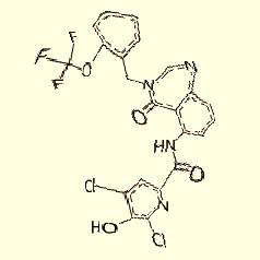 O=C(Nc1cccc2ncn(Cc3ccccc3OC(F)(F)F)c(=O)c12)c1cc(Cl)c(O)c(Cl)n1